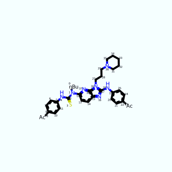 CCCCN(C(=S)Nc1ccc(C(C)=O)cc1)c1ccc2nc(Nc3ccc(C(C)=O)cc3)n(CCCN3CCCCC3)c2n1